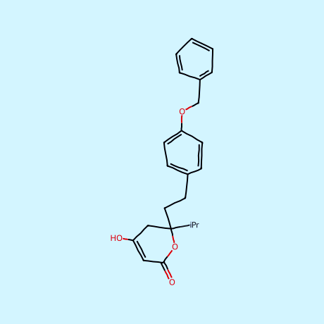 CC(C)C1(CCc2ccc(OCc3ccccc3)cc2)CC(O)=CC(=O)O1